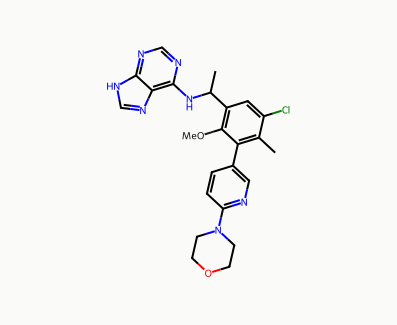 COc1c(C(C)Nc2ncnc3[nH]cnc23)cc(Cl)c(C)c1-c1ccc(N2CCOCC2)nc1